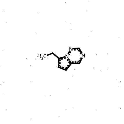 CCc1ccc2cncnn12